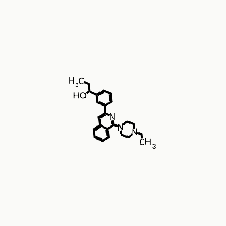 CCC(O)c1cccc(-c2cc3ccccc3c(N3CCN(CC)CC3)n2)c1